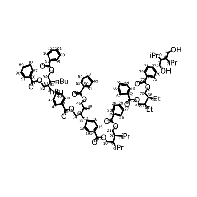 CC(C)C(CO)C(CO)C(C)C.CC(C)C(COC(=O)c1ccccc1)C(COC(=O)c1ccccc1)C(C)C.CC(COC(=O)c1ccccc1)C(C)COC(=O)c1ccccc1.CCC(COC(=O)c1ccccc1)C(CC)COC(=O)c1ccccc1.CCCCC(COC(=O)c1ccccc1)C(CCCC)COC(=O)c1ccccc1